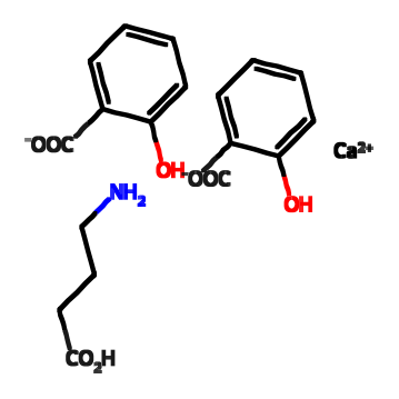 NCCCC(=O)O.O=C([O-])c1ccccc1O.O=C([O-])c1ccccc1O.[Ca+2]